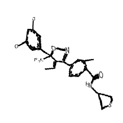 CC=C1C(c2ccc(C(=O)NC3CSC3)c(C)c2)=NOC1(c1cc(Cl)cc(Cl)c1)C(F)(F)F